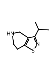 CC(C)c1nsc2c1CNCC2